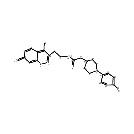 Cc1c2ccc(=O)cc-2onc1CCNC(=O)CN1CCN(c2ccc(F)cc2)CC1